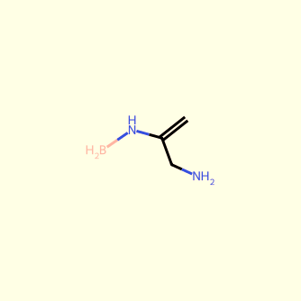 BNC(=C)CN